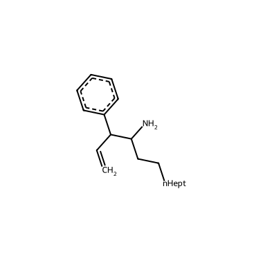 C=CC(c1ccccc1)C(N)CCCCCCCCC